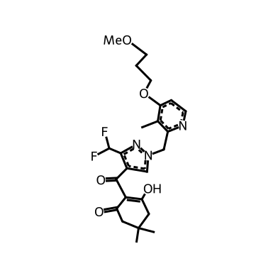 COCCCOc1ccnc(Cn2cc(C(=O)C3=C(O)CC(C)(C)CC3=O)c(C(F)F)n2)c1C